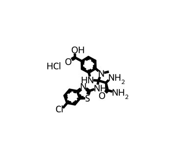 CN1c2ccc(C(=O)O)cc2NC1(Nc1nc2ccc(Cl)cc2s1)C(N)C(N)=O.Cl